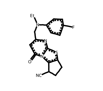 CCN(Cc1cc(=O)n2c3c(sc2n1)CCC3C#N)c1ccc(F)cc1